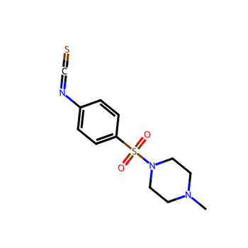 CN1CCN(S(=O)(=O)c2ccc(N=C=S)cc2)CC1